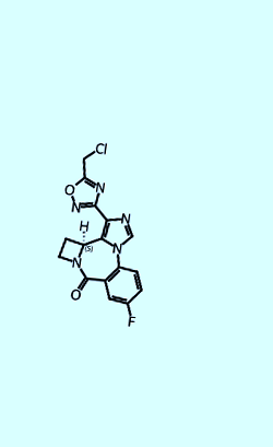 O=C1c2cc(F)ccc2-n2cnc(-c3noc(CCl)n3)c2[C@@H]2CCN12